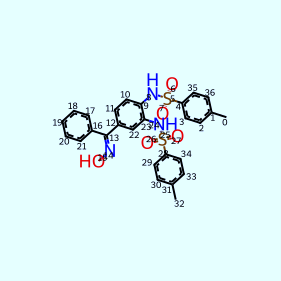 Cc1ccc(S(=O)(=O)Nc2ccc(C(=NO)c3ccccc3)cc2NS(=O)(=O)c2ccc(C)cc2)cc1